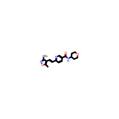 CCCCc1noc(C)c1/C=C/c1ccc(C(=O)NC2CCOCC2)cn1